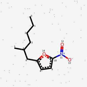 CCCCC(C)Cc1ccc([N+](=O)[O-])o1